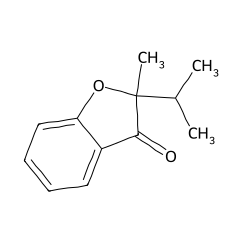 CC(C)C1(C)Oc2ccccc2C1=O